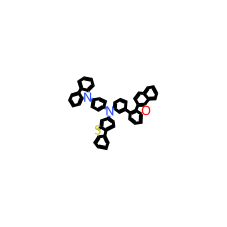 c1cc(-c2cccc3oc4c5ccccc5ccc4c23)cc(N(c2ccc(-n3c4ccccc4c4ccccc43)cc2)c2ccc3c(c2)sc2ccccc23)c1